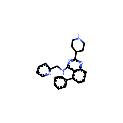 c1ccc(-c2cccc3nc(C4CCNCC4)nc(NCc4ccccn4)c23)cc1